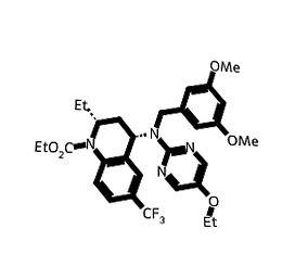 CCOC(=O)N1c2ccc(C(F)(F)F)cc2[C@@H](N(Cc2cc(OC)cc(OC)c2)c2ncc(OCC)cn2)C[C@H]1CC